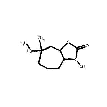 CBC1(C)CCCC2C(C1)SC(=O)N2C